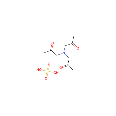 CC(=O)CN(CC(C)=O)CC(C)=O.O=S(=O)(O)O